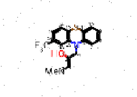 CNCC(O)CN1c2ccccc2Sc2ccc(C(F)(F)F)cc21